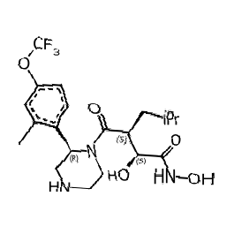 Cc1cc(OC(F)(F)F)ccc1[C@@H]1CNCCN1C(=O)[C@@H](CC(C)C)[C@H](O)C(=O)NO